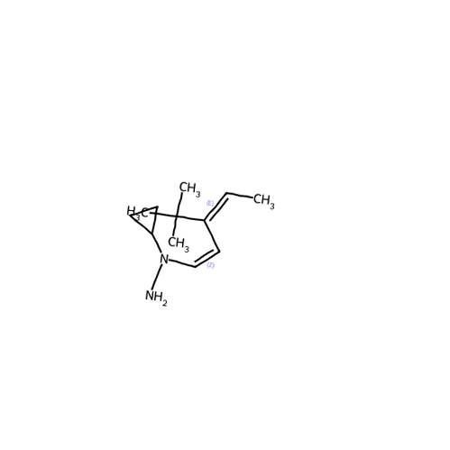 C/C=C(\C=C/N(N)C1CC1)C(C)(C)C